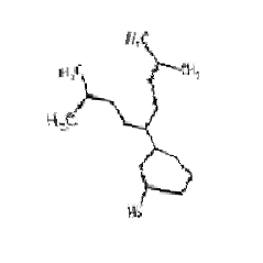 CC(C)CCC(CCC(C)C)C1CCCC(S)C1